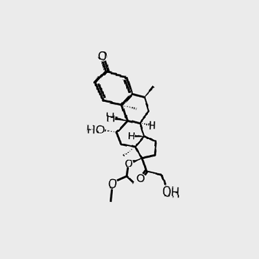 COC(C)O[C@]1(C(=O)CO)CC[C@H]2[C@@H]3C[C@H](C)C4=CC(=O)C=C[C@]4(C)[C@H]3[C@@H](O)C[C@@]21C